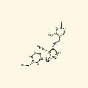 Cc1ccc(/C=N/c2[nH]nc(Nc3cccc(CI)c3)c2C#N)c(O)c1